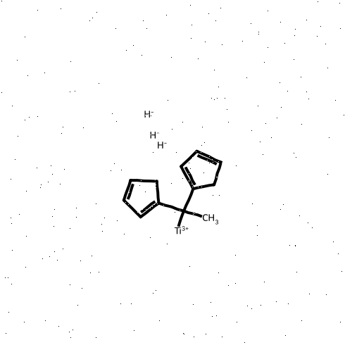 C[C]([Ti+3])(C1=CC=CC1)C1=CC=CC1.[H-].[H-].[H-]